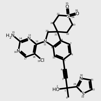 CC(O)(C#Cc1ccc2c(c1)N(c1nc(N)ncc1Cl)CC21CCS(=O)(=O)CC1)c1nccs1